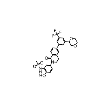 CS(=O)(=O)Nc1cc(N2CCc3cc(-c4cc(C5COCCO5)cc(C(F)(F)F)c4)ccc3C2=O)ccc1O